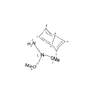 CON(N)OC.c1cc2ccc1-2